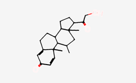 CC1CC2(C)C(C(=O)CO)CCC2C2CCC3=CC(=O)C=CC3(C)C12